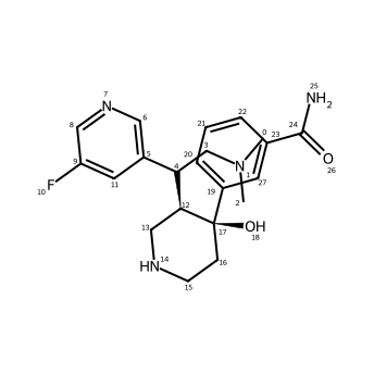 CN(C)CC(c1cncc(F)c1)[C@@H]1CNCC[C@@]1(O)c1cccc(C(N)=O)c1